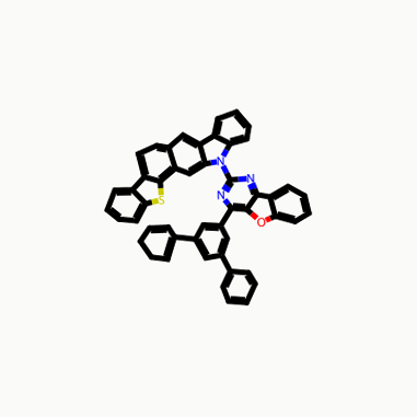 C1=CC(c2cc(-c3ccccc3)cc(-c3nc(-n4c5ccccc5c5cc6ccc7c8ccccc8sc7c6cc54)nc4c3oc3ccccc34)c2)=CCC1